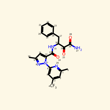 Cc1cc(C(F)(F)F)cc(-n2nc(C)cc2C(=O)NC(Cc2ccccc2)C(=O)C(N)=O)n1